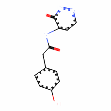 O=C(Cc1ccc(O)cc1)Nc1ccn[nH]c1=O